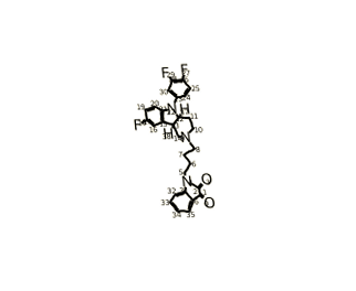 O=C1C(=O)N(CCCCN2CC[C@@H]3[C@@H](C2)c2cc(F)ccc2N3c2ccc(F)c(F)c2)c2ccccc21